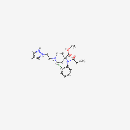 CCC(=O)N(c1ccccc1F)C1(C(=O)OC)CCN(CCn2cccn2)CC1